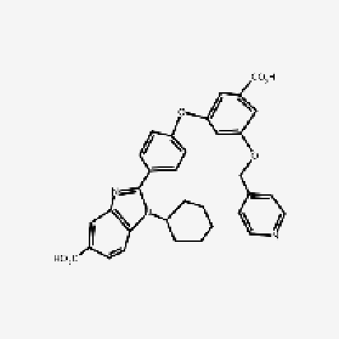 O=C(O)c1cc(OCc2ccncc2)cc(Oc2ccc(-c3nc4cc(C(=O)O)ccc4n3C3CCCCC3)cc2)c1